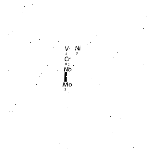 [Cr].[Nb][Mo].[Ni].[V]